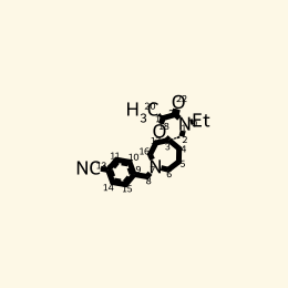 CCN1C[C@@]2(CCCN(Cc3ccc(C#N)cc3)CC2)O[C@@H](C)C1=O